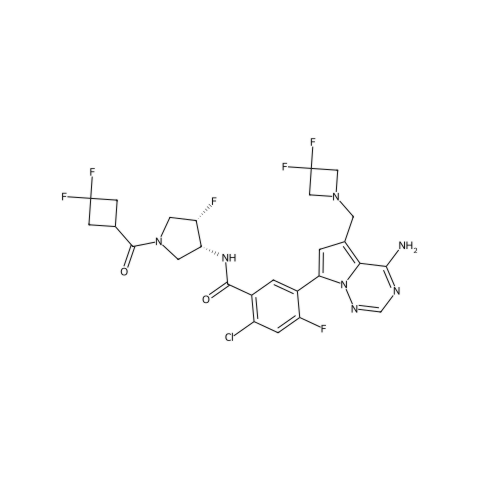 Nc1ncnn2c(-c3cc(C(=O)N[C@@H]4CN(C(=O)C5CC(F)(F)C5)C[C@@H]4F)c(Cl)cc3F)cc(CN3CC(F)(F)C3)c12